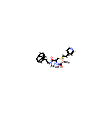 CCCCCN(CCC12CC3CC(CC(C3)C1)C2)C(=O)C(CSCCc1ccncc1)NC(=O)OC(C)(C)C